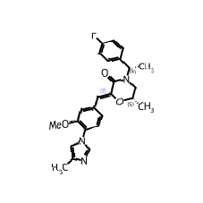 COc1cc(/C=C2\O[C@@H](C)CN([C@@H](C)c3ccc(F)cc3)C2=O)ccc1-n1cnc(C)c1